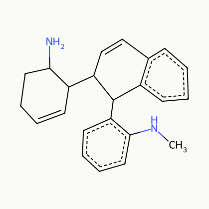 CNc1ccccc1C1c2ccccc2C=CC1C1C=CCCC1N